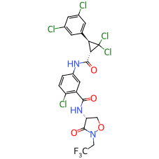 O=C(N[C@@H]1CON(CC(F)(F)F)C1=O)c1cc(NC(=O)[C@@H]2[C@@H](c3cc(Cl)cc(Cl)c3)C2(Cl)Cl)ccc1Cl